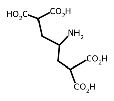 NC(CC(C(=O)O)C(=O)O)CC(C(=O)O)C(=O)O